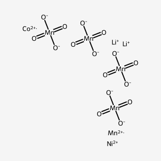 [Co+2].[Li+].[Li+].[Mn+2].[Ni+2].[O]=[Mn](=[O])([O-])[O-].[O]=[Mn](=[O])([O-])[O-].[O]=[Mn](=[O])([O-])[O-].[O]=[Mn](=[O])([O-])[O-]